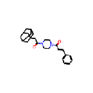 O=C(C=Cc1ccccc1)N1CCN(C(=O)CC23CC4CC(CC(C4)C2)C3)CC1